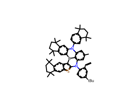 C=Cc1cc(C(C)(C)C)ccc1N1c2cc(C)cc3c2B(c2cc4c(cc2N3c2ccc3c(c2)C(C)(C)CCC3(C)C)C(C)(C)CCC4(C)C)c2c1sc1cc3c(cc21)C(C)(C)CCC3(C)C